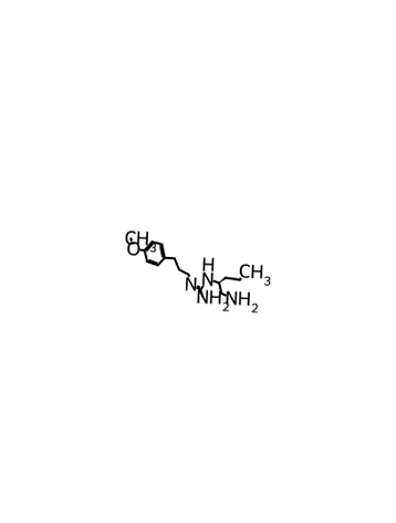 CCC[C@@H](CN)NC(N)=NCCCc1ccc(OC)cc1